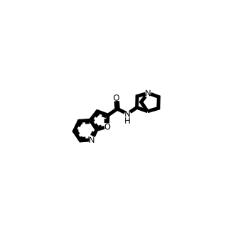 O=C(NC1CN2CCC1C2)c1cc2cccnc2o1